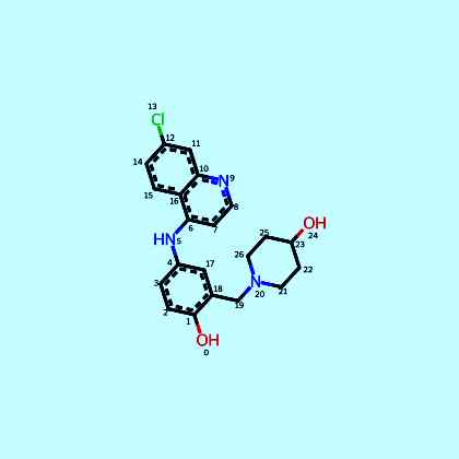 Oc1ccc(Nc2ccnc3cc(Cl)ccc23)cc1CN1CCC(O)CC1